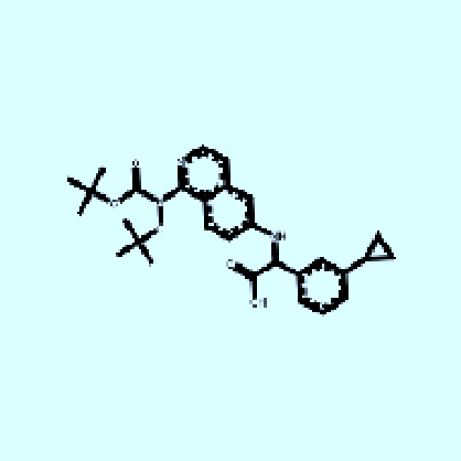 CC(C)(C)OC(=O)N(OC(C)(C)C)c1nccc2cc(NC(C(=O)O)c3cccc(C4CC4)c3)ccc12